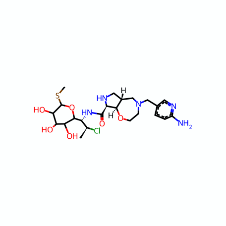 CSC1OC([C@H](NC(=O)[C@H]2NC[C@@H]3CN(Cc4ccc(N)nc4)CCO[C@H]32)[C@H](C)Cl)C(O)C(O)C1O